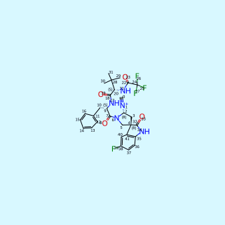 C#[N+][C@@H]1C[C@@]2(CN1C(=O)[C@H](Cc1ccccc1)NC(=O)[C@@H](NC(=O)C(F)(F)F)C(C)(C)C)C(=O)Nc1ccc(F)cc12